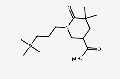 COC(=O)C1CN(CCC[Si](C)(C)C)C(=O)C(C)(C)C1